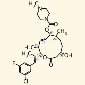 C/C(=C\c1cc(F)cc(Cl)c1)[C@H]1OC(=O)C[C@H](O)CC[C@H](C)[C@H](OC(=O)N2CCN(C)CC2)/C=C/[C@@H]1C